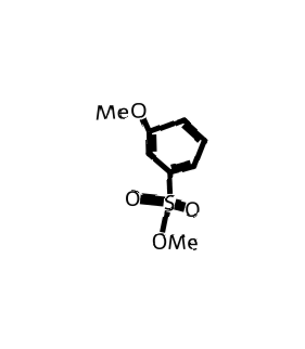 COc1cccc(S(=O)(=O)OC)c1